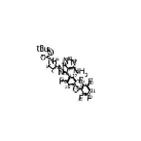 CC(C)(C)OC(=O)N1CC[C@@H](n2nc(-c3ccc(Oc4c(F)c(F)cc(F)c4F)cc3F)c3c(N)ncnc32)C1